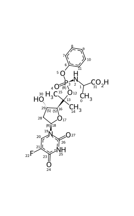 CC(N[P@@](=O)(Oc1ccccc1)OC(C)(C)[C@H]1O[C@@H](n2cc(F)c(=O)[nH]c2=O)C[C@@H]1O)C(=O)O